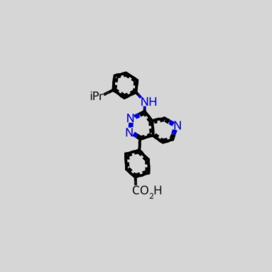 CC(C)c1cccc(Nc2nnc(-c3ccc(C(=O)O)cc3)c3ccncc23)c1